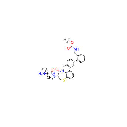 COC(=O)NCc1ccccc1-c1ccc(CN2C(=O)[C@H](NC(=O)C(C)(C)N)CSc3ccccc32)cc1